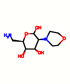 NC[C@H]1OC(O)[C@@H](N2CCOCC2)[C@@H](O)[C@H]1O